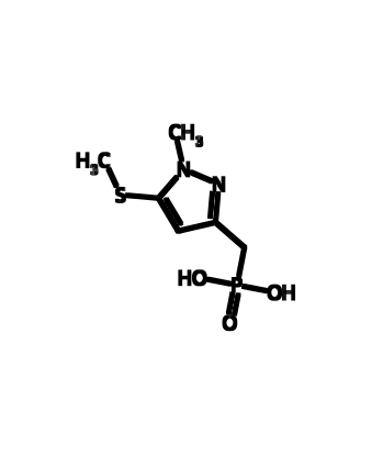 CSc1cc(CP(=O)(O)O)nn1C